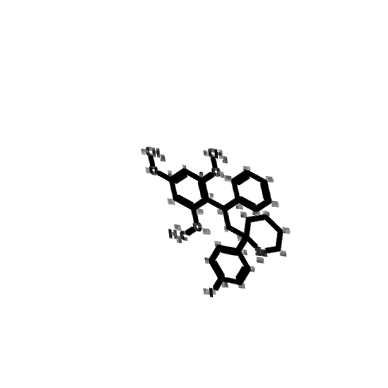 COc1cc(OC)c(C(CC2(c3ccc(F)cc3)CCCC[Se]2)c2ccccc2)c(OC)c1